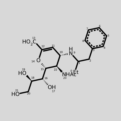 CCC(Cc1ccccc1)N[C@H]1C=C(C(=O)O)O[C@@H]([C@H](O)[C@H](O)CO)[C@@H]1NC(C)=O